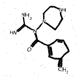 C=C1C=C(C(=O)N(C(=N)N)N2CCNCC2)C=CC1